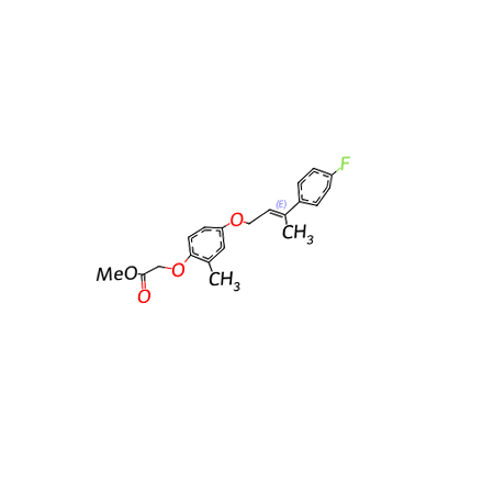 COC(=O)COc1ccc(OC/C=C(\C)c2ccc(F)cc2)cc1C